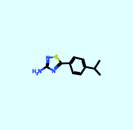 CC(C)c1ccc(-c2nc(N)ns2)cc1